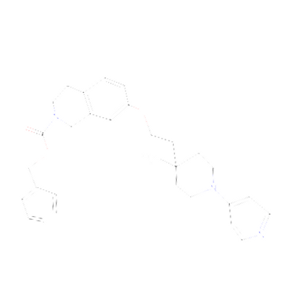 CCOC(=O)C1(CCOc2ccc3c(c2)CN(C(=O)OCc2ccccc2)CC3)CCN(c2ccncc2)CC1